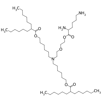 CCCCCCC(CCCCCC)C(=O)OCCCCCCN(CCCCCCOC(=O)C(CCCCCC)CCCCCC)CCOCCOC(=O)C(N)CCCCN